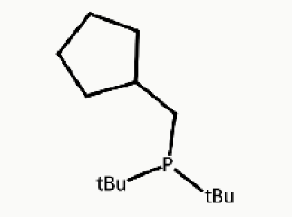 CC(C)(C)P(CC1CCCC1)C(C)(C)C